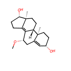 CO[C@H]1CC2=C[C@@H](O)CC[C@]2(C)[C@H]2CC[C@@]3(C)C(=C12)CC[C@@H]3O